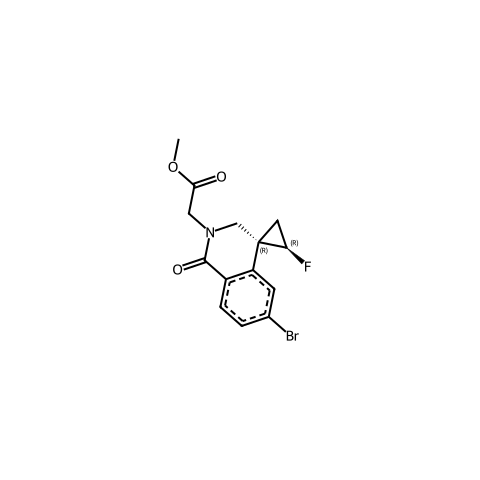 COC(=O)CN1C[C@@]2(C[C@H]2F)c2cc(Br)ccc2C1=O